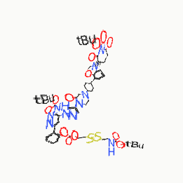 CC(C)(C)OC(=O)NCCSSCCOC(=O)Oc1ccccc1-c1cc(-n2cc(N3CCN(C4CCC(c5cccc6c5OCCN6[C@H]5CCC(=O)N(C(=O)OC(C)(C)C)C5=O)CC4)CC3=O)cn2)c(NC(=O)OC(C)(C)C)nn1